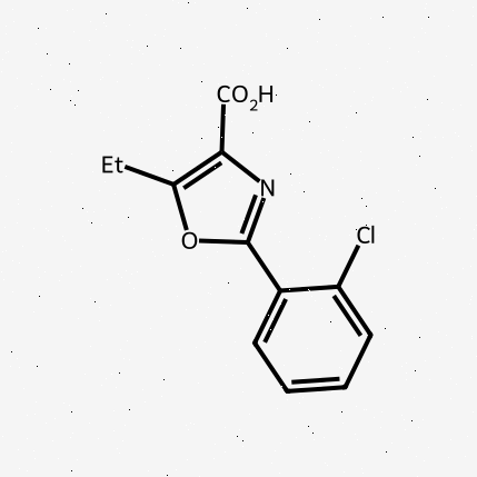 CCc1oc(-c2ccccc2Cl)nc1C(=O)O